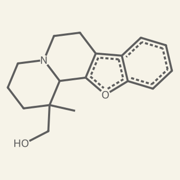 CC1(CO)CCCN2CCc3c(oc4ccccc34)C21